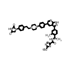 Cc1cc(-c2n[nH]c3ncc(-c4ccc(N5CCN(CCc6ccc(N7CC(=O)NC7=O)cc6)CC5)cc4)cc23)ccc1[C@@H](C)NC(=O)c1nc(C(C)(C)C)no1